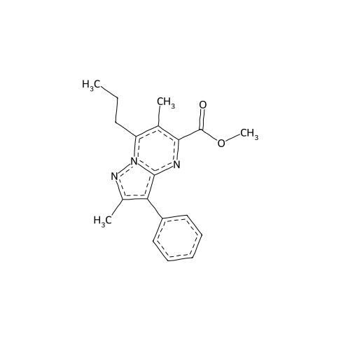 CCCc1c(C)c(C(=O)OC)nc2c(-c3ccccc3)c(C)nn12